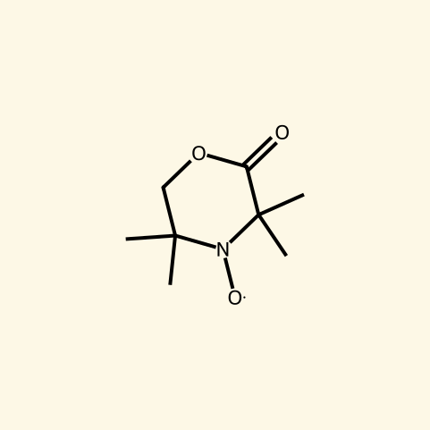 CC1(C)COC(=O)C(C)(C)N1[O]